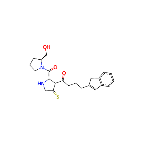 O=C(CCCC1=Cc2ccccc2C1)C1C(=S)CN[C@@H]1C(=O)N1CCC[C@H]1CO